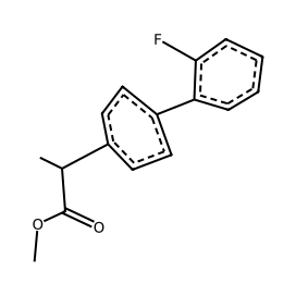 COC(=O)C(C)c1ccc(-c2ccccc2F)cc1